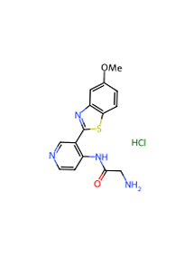 COc1ccc2sc(-c3cnccc3NC(=O)CN)nc2c1.Cl